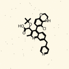 Cc1nc2cc(Cc3ccncc3)ccc2c(-c2ccc3c(c2Cl)NCCO3)c1[C@H](OC(C)(C)C)C(=O)O